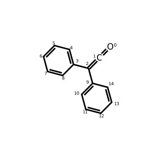 O=C=C(c1ccccc1)c1ccccc1